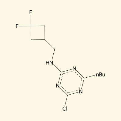 CCCCc1nc(Cl)nc(NCC2CC(F)(F)C2)n1